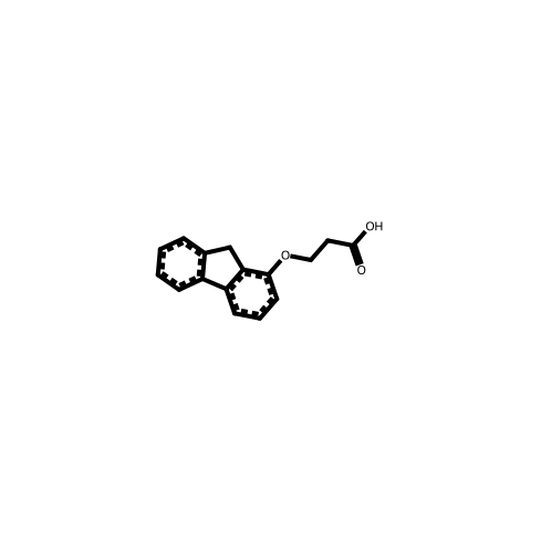 O=C(O)CCOc1cccc2c1Cc1ccccc1-2